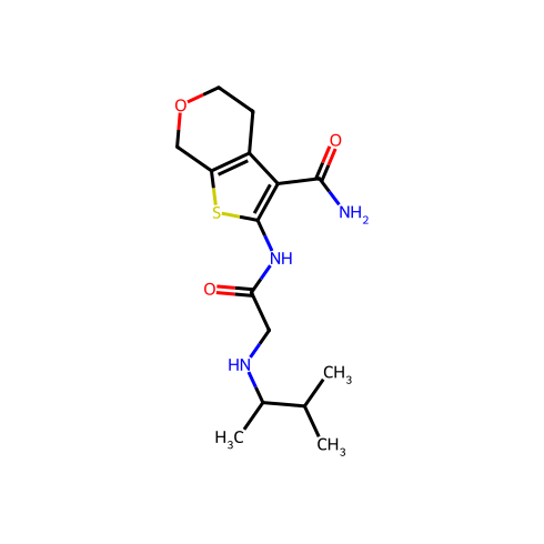 CC(C)C(C)NCC(=O)Nc1sc2c(c1C(N)=O)CCOC2